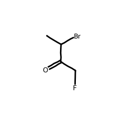 CC(Br)C(=O)CF